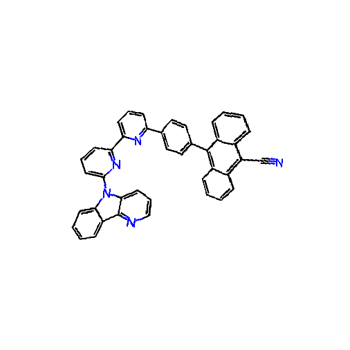 N#Cc1c2ccccc2c(-c2ccc(-c3cccc(-c4cccc(-n5c6ccccc6c6ncccc65)n4)n3)cc2)c2ccccc12